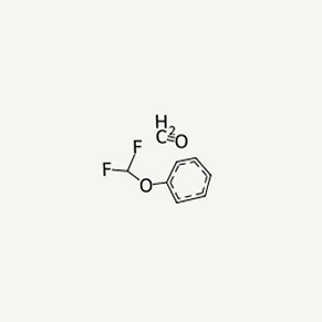 C=O.FC(F)Oc1ccccc1